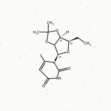 CC[C@H]1O[C@@H](n2c(I)cc(=O)[nH]c2=O)C2OC(C)(C)O[C@H]21